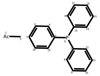 CC(C)=O.c1ccc(P(c2ccccc2)c2ccccc2)cc1